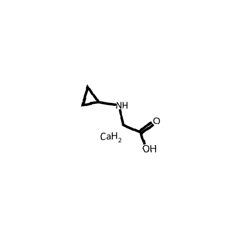 O=C(O)CNC1CC1.[CaH2]